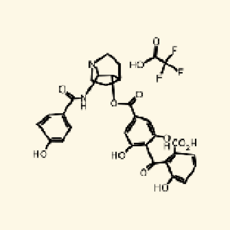 O=C(NC1CN2CCC(CC2)C1OC(=O)c1cc(O)c(C(=O)c2c(O)cccc2C(=O)O)c(O)c1)c1ccc(O)cc1.O=C(O)C(F)(F)F